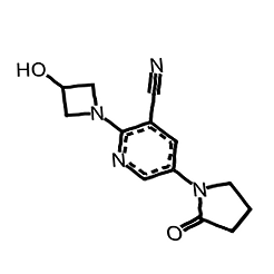 N#Cc1cc(N2CCCC2=O)cnc1N1CC(O)C1